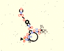 CC(C)(C)OC(=O)N[C@H]1CCCCC/C=C\[C@@H]2C[C@@]2(C(=O)NS(=O)(=O)C2CC2)NC(=O)C2C[C@@H](OC(=O)N3Cc4ccc(OCCOC(=O)N5CCOCC5)cc4C3)CN2C1=O